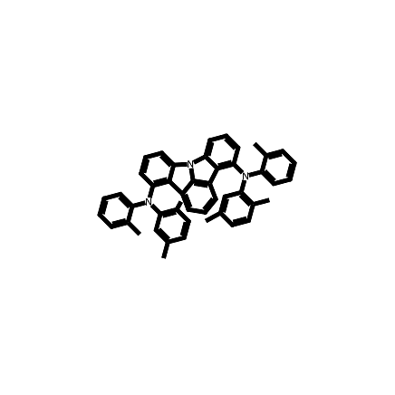 Cc1ccc(C)c(N(c2ccccc2C)c2cccc3c2c2cccc4c5c(N(c6ccccc6C)c6cc(C)ccc6C)cccc5n3c24)c1